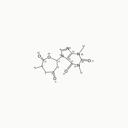 CC1CC(=O)CC(n2cnc3c2c(=O)n(C)c(=O)n3C)OC1=O